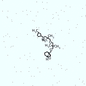 CC1CCC(NCC(C)(C)COCC(C)(C)COC[C@@]23CCC[C@H](OC2)O3)C1